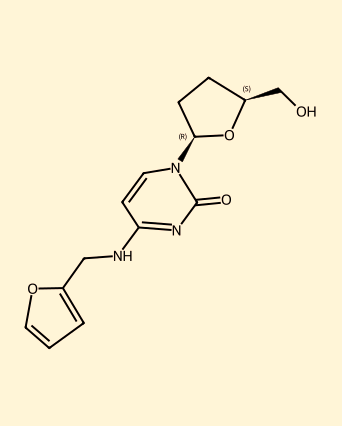 O=c1nc(NCc2ccco2)ccn1[C@H]1CC[C@@H](CO)O1